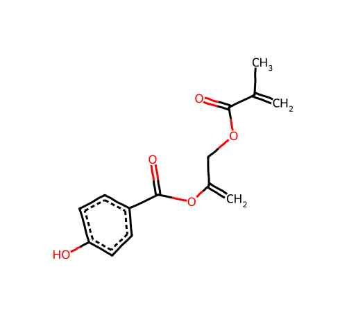 C=C(COC(=O)C(=C)C)OC(=O)c1ccc(O)cc1